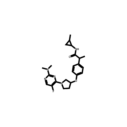 CC(C(=O)NC1CC1C)c1ccc(OC2CCN(c3nc(N(C)C)ncc3F)C2)cc1